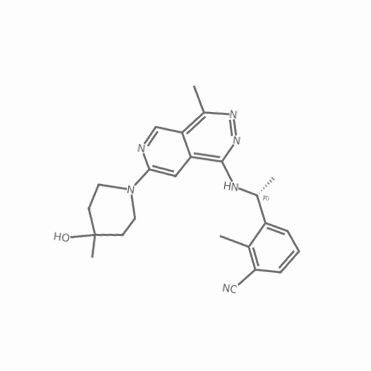 Cc1c(C#N)cccc1[C@@H](C)Nc1nnc(C)c2cnc(N3CCC(C)(O)CC3)cc12